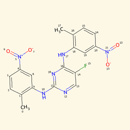 Cc1ccc([N+](=O)[O-])cc1Nc1ncc(F)c(Nc2cc([N+](=O)[O-])ccc2C)n1